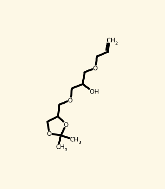 C=CCOCC(O)COCC1COC(C)(C)O1